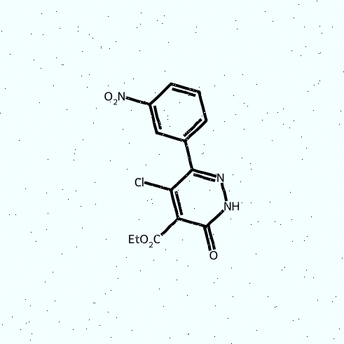 CCOC(=O)c1c(Cl)c(-c2cccc([N+](=O)[O-])c2)n[nH]c1=O